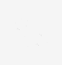 Cc1nc(C)c2cc3c(cc2n1)OC=CN3